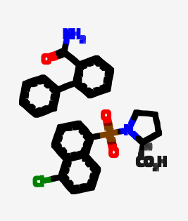 NC(=O)c1ccccc1-c1ccccc1.O=C(O)[C@@H]1CCCN1S(=O)(=O)c1cccc2c(Cl)cccc12